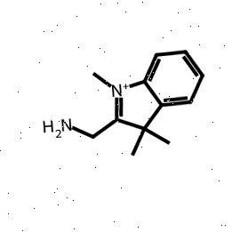 C[N+]1=C(CN)C(C)(C)c2ccccc21